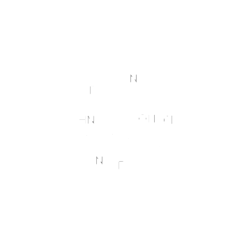 Oc1cncc(F)c1-c1[nH]c2cccnc2c1-c1cc(Cl)ccc1F